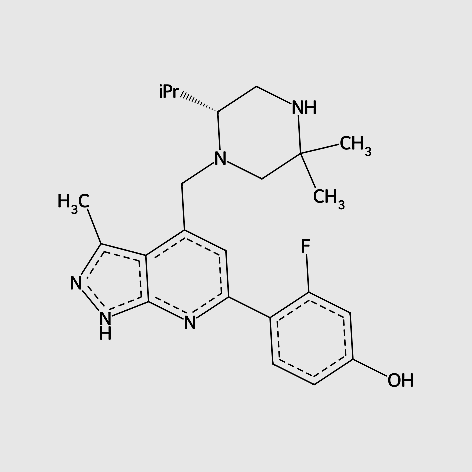 Cc1n[nH]c2nc(-c3ccc(O)cc3F)cc(CN3CC(C)(C)NC[C@H]3C(C)C)c12